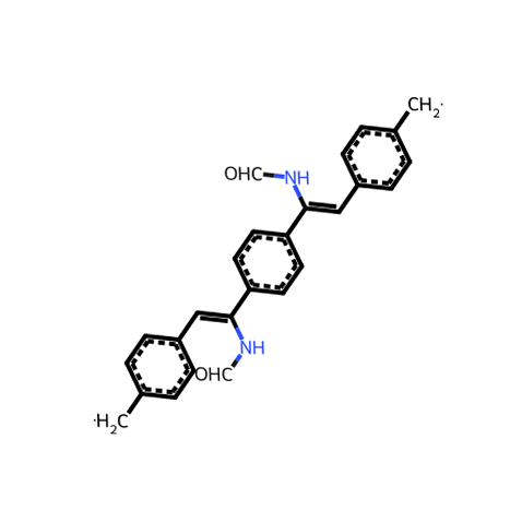 [CH2]c1ccc(C=C(NC=O)c2ccc(C(=Cc3ccc([CH2])cc3)NC=O)cc2)cc1